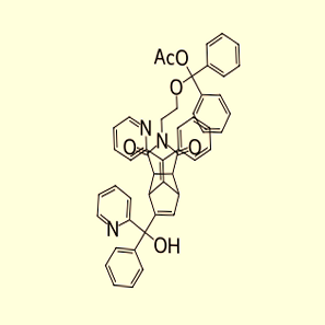 CC(=O)OC(OCCN1C(=O)C2C3C=C(C(O)(c4ccccc4)c4ccccn4)C(C3=C(c3ccccc3)c3ccccn3)C2C1=O)(c1ccccc1)c1ccccc1